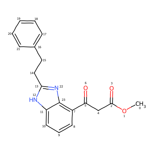 COC(=O)CC(=O)c1cccc2[nH]c(CCc3ccccc3)nc12